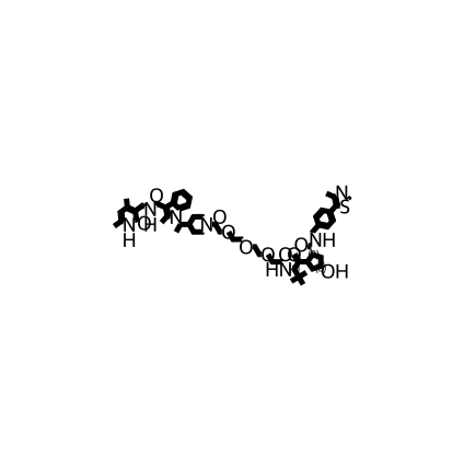 Cc1cc(C)c(CNC(=O)c2c(C)n(C(C)C3CCN(C(=O)COCCOCCOCC(=O)N[C@H](C(=O)C4C[C@H](O)C[C@H]4C(=O)NCc4ccc(-c5scnc5C)cc4)C(C)(C)C)CC3)c3ccccc23)c(=O)[nH]1